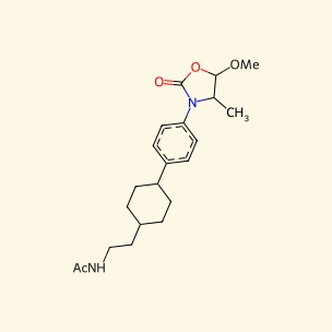 COC1OC(=O)N(c2ccc(C3CCC(CCNC(C)=O)CC3)cc2)C1C